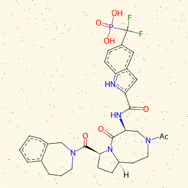 CC(=O)N1CC[C@H]2CC[C@@H](C(=O)N3CCCc4ccccc4C3)N2C(=O)[C@@H](NC(=O)c2cc3cc(C(F)(F)P(=O)(O)O)ccc3[nH]2)C1